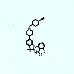 C#CC1CCC(CN2CCC(c3ccc4c(c3)-n3c(nc(=O)c5c(Cl)cccc53)C4(C)C)CC2)CC1